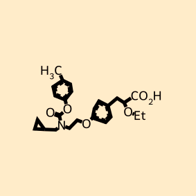 CCOC(Cc1ccc(OCCN(CC2CC2)C(=O)Oc2ccc(C)cc2)cc1)C(=O)O